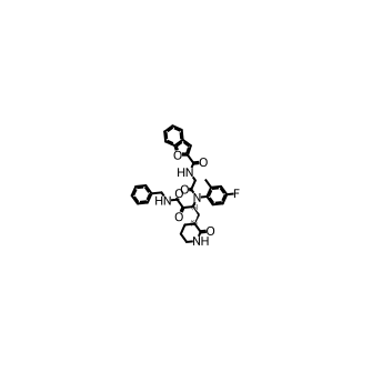 Cc1cc(F)ccc1N(C(=O)CNC(=O)c1cc2ccccc2o1)[C@@H](C[C@@H]1CCCNC1=O)C(=O)C(=O)NCc1ccccc1